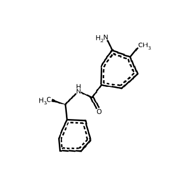 Cc1ccc(C(=O)N[C@H](C)c2ccccc2)cc1N